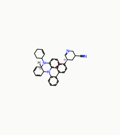 N#CC1CN=C[C@H](c2ccc(-c3ccccc3N3c4ccccc4N(C4C=CCCC4)[C@H]4C=CC=CC43)cc2)C1